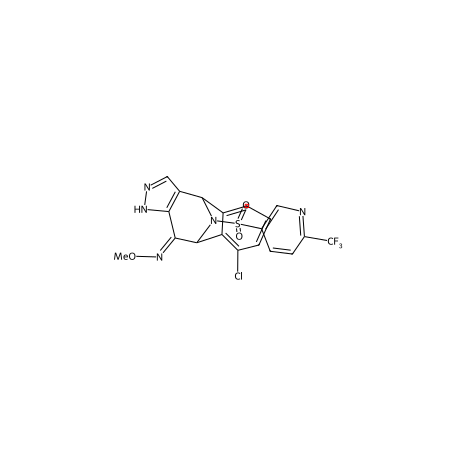 CO/N=C1\c2[nH]ncc2C2c3cccc(Cl)c3C1N2S(=O)(=O)c1ccc(C(F)(F)F)nc1